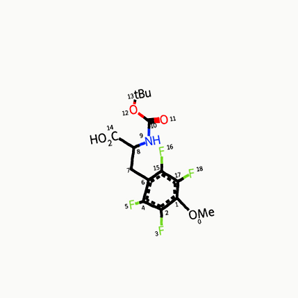 COc1c(F)c(F)c(CC(NC(=O)OC(C)(C)C)C(=O)O)c(F)c1F